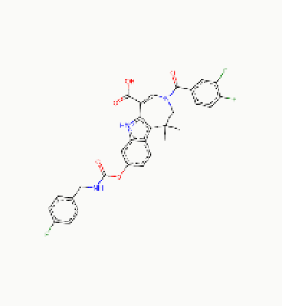 CC1(C)CN(C(=O)c2ccc(F)c(F)c2)C=C(C(=O)O)c2[nH]c3cc(OC(=O)NCc4ccc(F)cc4)ccc3c21